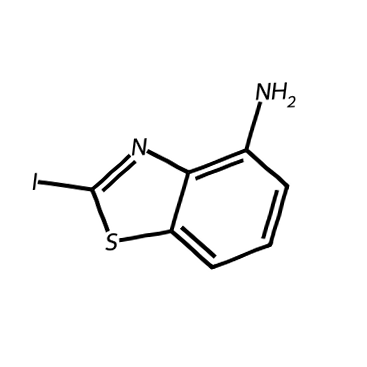 Nc1cccc2sc(I)nc12